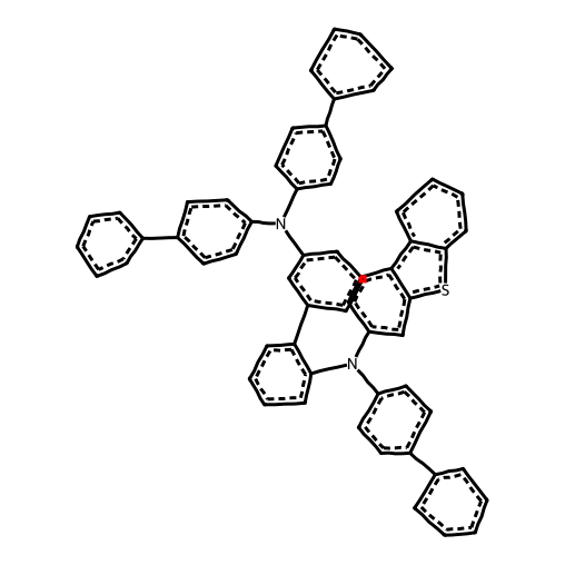 c1ccc(-c2ccc(N(c3ccc(-c4ccccc4)cc3)c3cccc(-c4ccccc4N(c4ccc(-c5ccccc5)cc4)c4ccc5c(c4)sc4ccccc45)c3)cc2)cc1